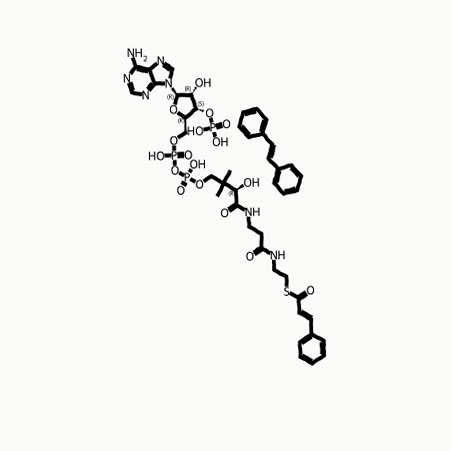 C(=Cc1ccccc1)c1ccccc1.CC(C)(COP(=O)(O)OP(=O)(O)OC[C@H]1O[C@@H](n2cnc3c(N)ncnc32)[C@H](O)[C@@H]1OP(=O)(O)O)[C@@H](O)C(=O)NCCC(=O)NCCSC(=O)C=Cc1ccccc1